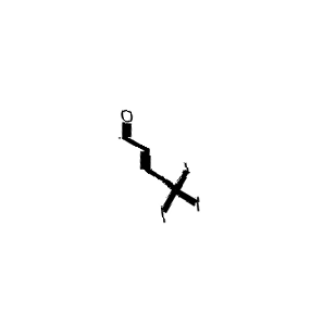 O=[C]C=CC(I)(I)I